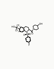 O=C(C1CCc2cc(C(O)(C(F)(F)F)C(F)(F)F)ccc2N1S(=O)(=O)c1ccc(F)cc1)N1CCC(O)CC1